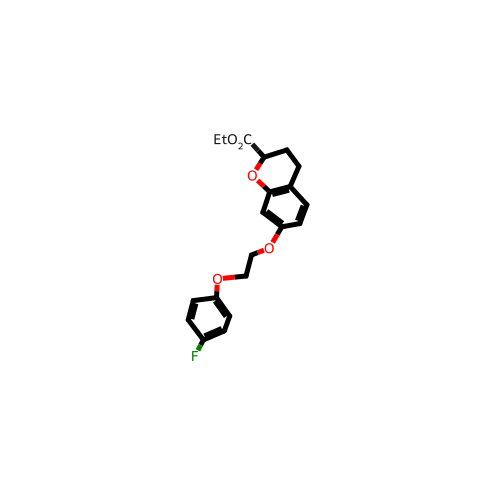 CCOC(=O)C1CCc2ccc(OCCOc3ccc(F)cc3)cc2O1